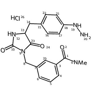 CNC(=O)c1cccc(CN2C(=O)NC(Cc3ccc(NN)cc3)C2=O)c1.Cl